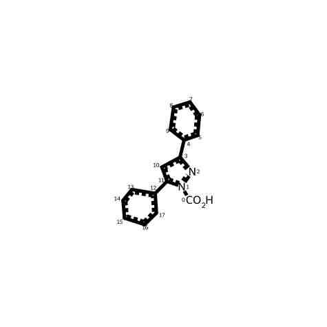 O=C(O)n1nc(-c2ccccc2)cc1-c1ccccc1